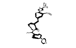 COc1cc(C=C2CCCN(C(c3ccc(N4CCOCC4)cc3)C(C)C)C2=O)ccc1-n1cnc(C)c1